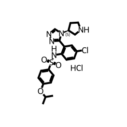 CC(C)Oc1ccc(S(=O)(=O)Nc2ccc(Cl)cc2-c2nncn2[C@H]2CCNC2)cc1.Cl